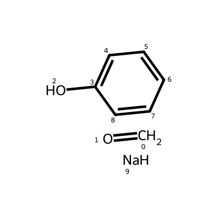 C=O.Oc1ccccc1.[NaH]